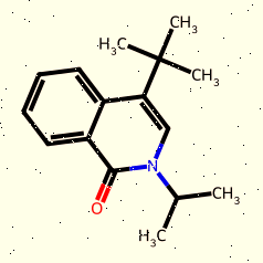 CC(C)n1cc(C(C)(C)C)c2ccccc2c1=O